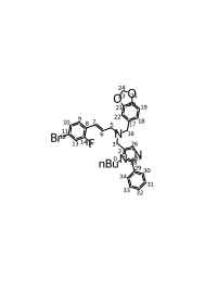 CCCCn1c(CN(CC=Cc2ccc(Br)cc2F)Cc2ccc3c(c2)OCO3)cnc1-c1ccccc1